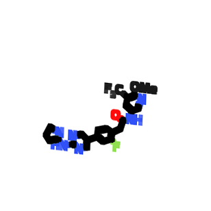 COc1ncc(NC(=O)Cc2ccc(-c3cnc(NC4=CCC=N4)nc3)cc2F)cc1C(F)(F)F